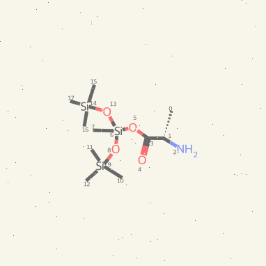 C[C@H](N)C(=O)O[Si](C)(O[Si](C)(C)C)O[Si](C)(C)C